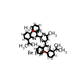 Cc1cc(C(=Nc2c(C(C)C)cccc2C(C)C)c2ccccc2)nc(C(=Nc2c(C(C)C)cccc2C(C)C)c2ccccc2)n1.[Fe]